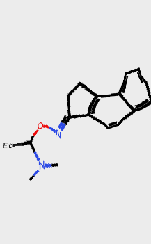 CCC(ON=C1CCc2c1ccc1ccccc21)N(C)C